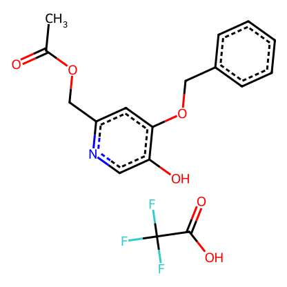 CC(=O)OCc1cc(OCc2ccccc2)c(O)cn1.O=C(O)C(F)(F)F